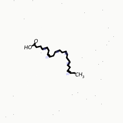 CC/C=C\C/C=C/C/C=C\C/C=C\C/C=C\C/C=C/CCC(=O)O